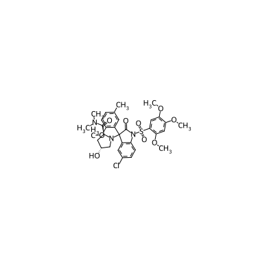 COc1cc(OC)c(S(=O)(=O)N2C(=O)C(c3cc(C)ccc3OC)(N3C[C@H](O)C[C@H]3C(=O)N(C)C)c3cc(Cl)ccc32)cc1OC